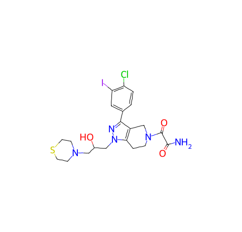 NC(=O)C(=O)N1CCc2c(c(-c3ccc(Cl)c(I)c3)nn2CC(O)CN2CCSCC2)C1